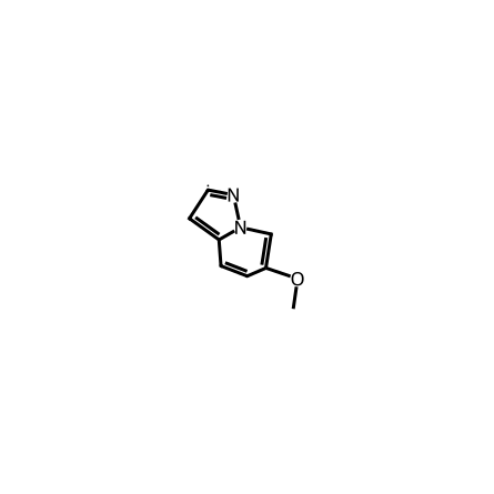 COc1ccc2c[c]nn2c1